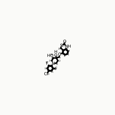 O=C1Nc2cccc(OC[C@]3(O)CCN(c4c(F)cc(Cl)cc4F)C[C@H]3O)c2CS1